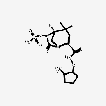 CC1(C)C[C@@H](C(=O)NOC2CCCC2N)N2C[C@@H]1N(OS(=O)(=O)O)C2=O